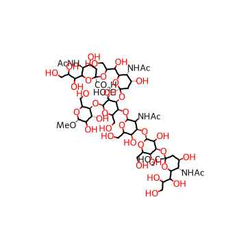 CO[C@@H]1OC(CO)[C@@H](O[C@@H]2OC(CO)[C@H](O[C@@H]3OC(CO)[C@H](O)[C@H](O[C@@H]4OC(CO)[C@H](O)[C@H](O[C@]5(C(=O)O)C[C@@H](O)[C@H](NC(C)=O)C(C(O)C(O)CO)O5)C4O)C3NC(C)=O)[C@H](O[C@]3(C(=O)O)C[C@@H](O)[C@@H](NC(C)=O)C(C(O)C(CO)O[C@]4(C(=O)O)C[C@@H](O)[C@H](NC(C)=O)C(C(O)C(O)CO)O4)O3)C2O)[C@H](O)C1O